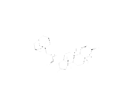 CC1C[C@H]2[C@@H]3CC[C@H]4NC(=O)C=C[C@]4(C)[C@H]3CC[C@]2(C)[C@H]1C(=O)NCC12CC3CC(CC(C3)C1)C2